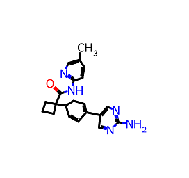 Cc1ccc(NC(=O)C2(C3C=CC(c4cnc(N)nc4)=CC3)CCC2)nc1